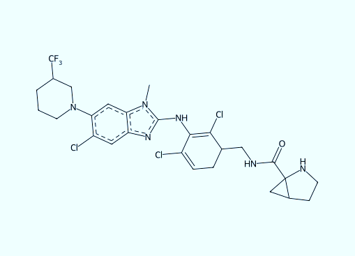 Cn1c(NC2=C(Cl)C(CNC(=O)C34CC3CCN4)CC=C2Cl)nc2cc(Cl)c(N3CCCC(C(F)(F)F)C3)cc21